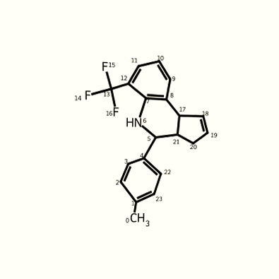 Cc1ccc(C2Nc3c(cccc3C(F)(F)F)C3C=CCC32)cc1